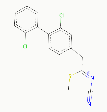 CS/C(Cc1ccc(-c2ccccc2Cl)c(Cl)c1)=N\C#N